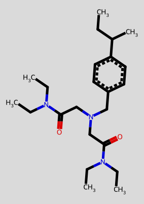 CCC(C)c1ccc(CN(CC(=O)N(CC)CC)CC(=O)N(CC)CC)cc1